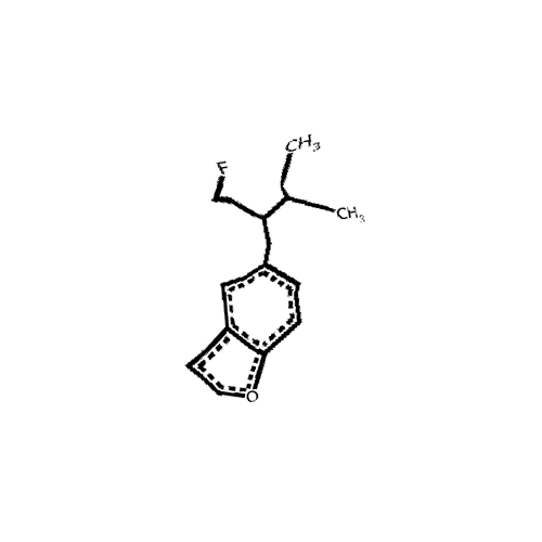 CC(C)C(CF)c1ccc2occc2c1